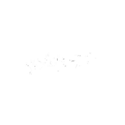 CC(O)(C(=O)Nc1ccc2c(N)noc2c1)[C@H]1OCCN(c2ccc3cc(C(F)(F)F)ccc3n2)C1=O